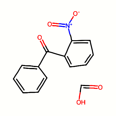 O=C(c1ccccc1)c1ccccc1[N+](=O)[O-].O=CO